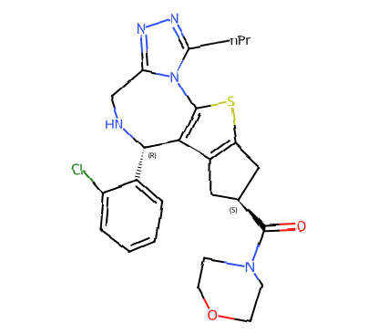 CCCc1nnc2n1-c1sc3c(c1[C@H](c1ccccc1Cl)NC2)C[C@H](C(=O)N1CCOCC1)C3